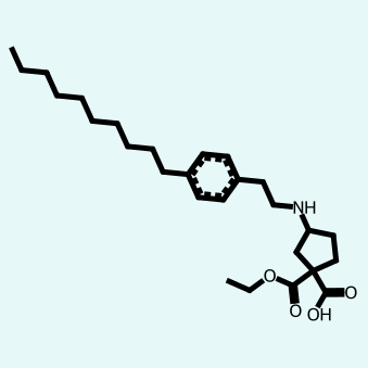 CCCCCCCCCCc1ccc(CCNC2CCC(C(=O)O)(C(=O)OCC)C2)cc1